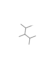 [CH2]C(C)C(C)C(C)C